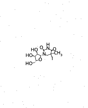 CC1(I)CN([C@@H]2O[C@H](CO)[C@@H](O)[C@H]2O)C(=O)NC1=O